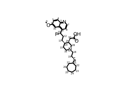 COc1ccc2nccc([C@H](F)CC[C@@H]3CCN(CCSC4CCCCCC4)C[C@@H]3CC(=O)O)c2c1